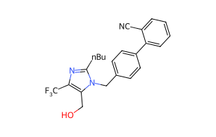 CCCCc1nc(C(F)(F)F)c(CO)n1Cc1ccc(-c2ccccc2C#N)cc1